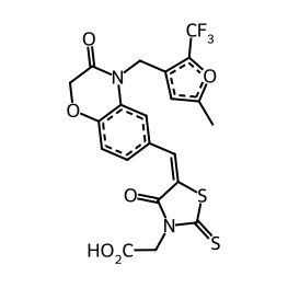 Cc1cc(CN2C(=O)COc3ccc(C=C4SC(=S)N(CC(=O)O)C4=O)cc32)c(C(F)(F)F)o1